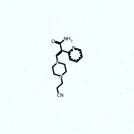 N#CCCN1CCN(C=C(C(N)=O)c2ccccn2)CC1